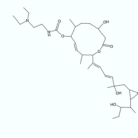 CCC(O)C(C)C1OC1CC(C)(O)/C=C/C=C(\C)C1OC(=O)CC(O)CCC(C)C(OC(=O)NCCN(CC)CC)/C=C/C1C